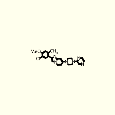 COc1cc(C)c(-c2cn3ccc(N4CCN(c5cnccn5)CC4)cc3n2)cc1Cl